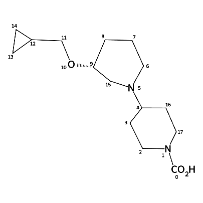 O=C(O)N1CCC(N2CCC[C@@H](OCC3CC3)C2)CC1